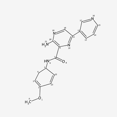 COC1=CCC(NC(=O)c2nc(-c3cccnc3)cnc2N)C=C1